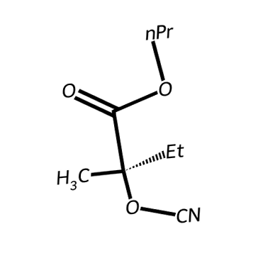 CCCOC(=O)[C@@](C)(CC)OC#N